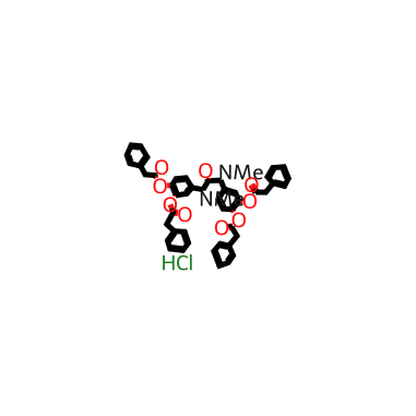 CNC(C(=O)C(NC)c1ccc(OC(=O)Cc2ccccc2)c(OC(=O)Cc2ccccc2)c1)c1ccc(OC(=O)Cc2ccccc2)c(OC(=O)Cc2ccccc2)c1.Cl